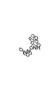 C1=CC2=C(CC1)C1(c3ccccc3O2)c2ccccc2-c2cc3c(cc21)C(c1ccccc1)Nc1cc(-c2ccc4ccc5ccc(-c6ccccc6)nc5c4n2)ccc1-3